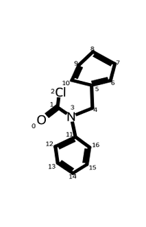 O=C(Cl)N(Cc1ccccc1)c1ccccc1